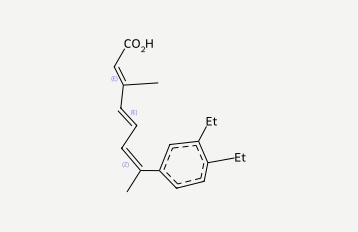 CCc1ccc(\C(C)=C/C=C/C(C)=C/C(=O)O)cc1CC